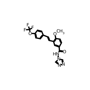 COc1ccc(C(=O)Nn2cnnc2)cc1C=Cc1ccc(OC(F)(F)F)cc1